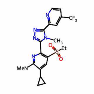 CCS(=O)(=O)c1cc(C2CC2)c(NC)nc1-c1nnc(-c2cc(C(F)(F)F)ccn2)n1C